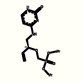 C=C[C@@H](CNc1cc[nH]c(=O)n1)OCP(=O)(OC(C)C)OC(C)C